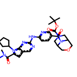 CN(C)C(=O)c1cc2cnc(Nc3ccc(C(=O)N4C5COCC4CN(C(=O)OC(C)(C)C)C5)cn3)nc2n1C1CCCC1